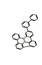 c1ccc(-c2cccc(-c3ccc4c(c3)B3c5ccccc5-c5cccc6c7cccc-4c7n3c56)c2)cc1